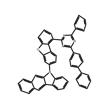 c1ccc(-c2ccc(-c3nc(-c4ccccc4)nc(-c4cccc5oc6cc(-n7c8ccccc8c8cc9ccccc9cc87)ccc6c45)n3)cc2)cc1